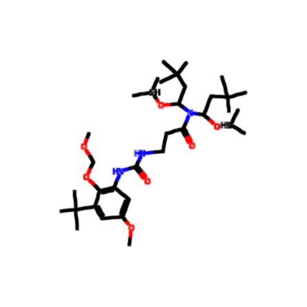 COCOc1c(NC(=O)NCCC(=O)N(C(CC(C)(C)C)O[SiH](C)C)C(CC(C)(C)C)O[SiH](C)C)cc(OC)cc1C(C)(C)C